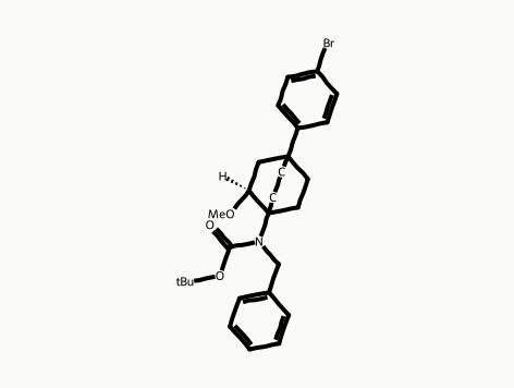 CO[C@H]1CC2(c3ccc(Br)cc3)CCC1(N(Cc1ccccc1)C(=O)OC(C)(C)C)CC2